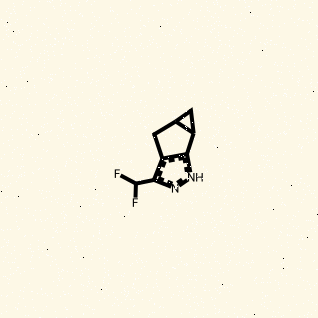 FC(F)c1n[nH]c2c1CC1CC21